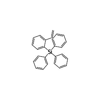 C=Cc1ccccc1[Si](c1ccccc1)(c1ccccc1)c1ccccc1